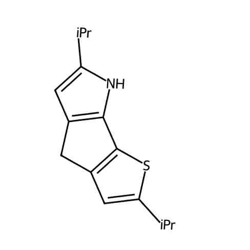 CC(C)c1cc2c([nH]1)-c1sc(C(C)C)cc1C2